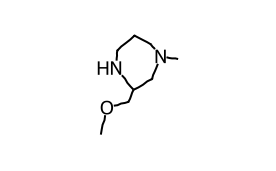 COCC1CN(C)CCCN1